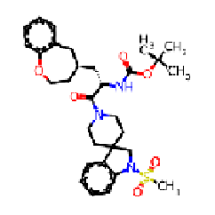 CC(C)(C)OC(=O)N[C@@H](C[C@H]1CCOc2ccccc2C1)C(=O)N1CCC2(CC1)CN(S(C)(=O)=O)c1ccccc12